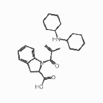 C1CCC(NC2CCCCC2)CC1.C=C(C)C(=O)N1c2ccccc2CC1C(=O)O